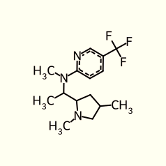 CC1CC(C(C)N(C)c2ccc(C(F)(F)F)cn2)N(C)C1